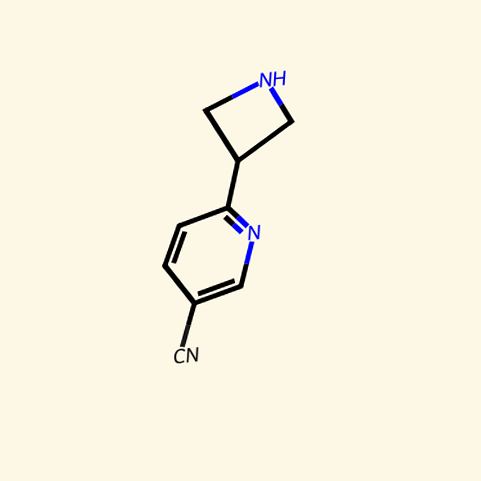 N#Cc1ccc(C2CNC2)nc1